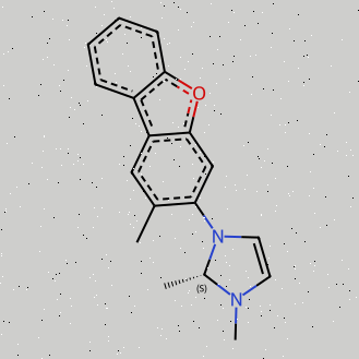 Cc1cc2c(cc1N1C=CN(C)[C@@H]1C)oc1ccccc12